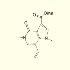 C=Cc1cn(C)c(=O)c2c(C(=O)OC)cn(C)c12